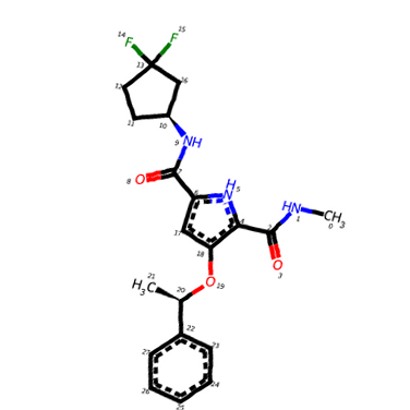 CNC(=O)c1[nH]c(C(=O)N[C@H]2CCC(F)(F)C2)cc1O[C@H](C)c1ccccc1